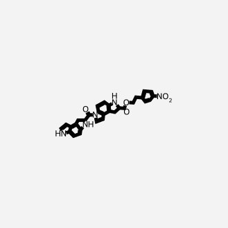 O=C(OCCc1ccc([N+](=O)[O-])cc1)C1Cc2c(ccc3c2ccn3C(=O)C2Cc3c(ccc4[nH]ccc34)N2)N1